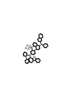 C[Si]1(C)c2cc(N(c3ccccc3-c3ccccc3)c3cccc4c3oc3ccccc34)ccc2-c2ccc(N(c3ccccc3)c3ccc4ccccc4c3)c3cccc1c23